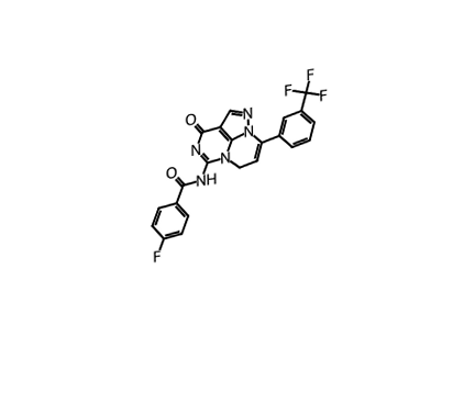 O=C(Nc1nc(=O)c2cnn3c2n1CC=C3c1cccc(C(F)(F)F)c1)c1ccc(F)cc1